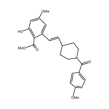 COC(=O)c1c(O)cc(OC)cc1C=CC1CCN(C(=O)c2ccc(OC)cc2)CC1